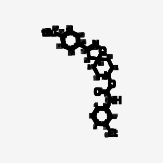 CCc1cccc(NC(=O)ON2CCC3(CC2)CC(c2ccc(C(C)(C)C)cc2)=NO3)c1